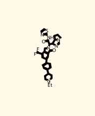 CCN1CCC(c2ccc(-c3cc4c(c(C(F)F)c3)CN(C(C(=O)Nc3nccs3)C3N=CN5CCCC35)C4=O)cc2)CC1